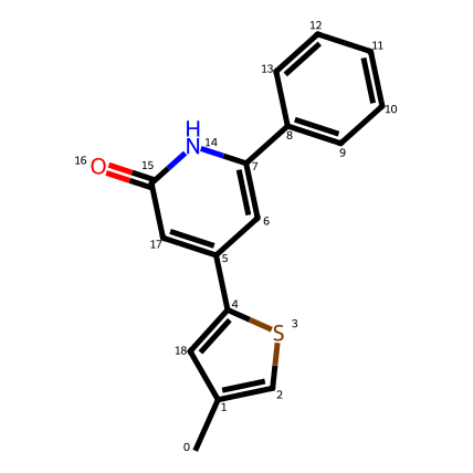 Cc1csc(-c2cc(-c3ccccc3)[nH]c(=O)c2)c1